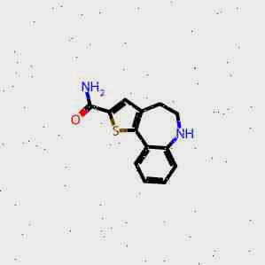 NC(=O)c1cc2c(s1)-c1ccccc1NCC2